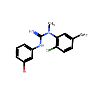 CSc1ccc(Cl)c(N(C)C(=N)Nc2cccc(Br)c2)c1